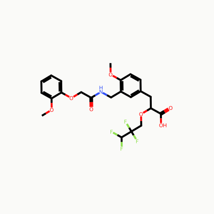 COc1ccc(CC(OCC(F)(F)C(F)F)C(=O)O)cc1CNC(=O)COc1ccccc1OC